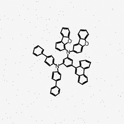 c1ccc(-c2ccc(N(c3ccc(-c4ccccc4)cc3)c3cc(-c4cc5ccccc5c5ccccc45)cc(N(c4ccc5oc6ccccc6c5c4)c4cccc5c4oc4ccccc45)c3)cc2)cc1